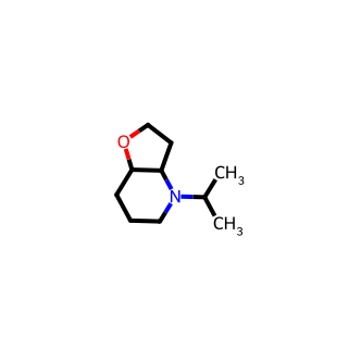 CC(C)N1CCCC2OCCC21